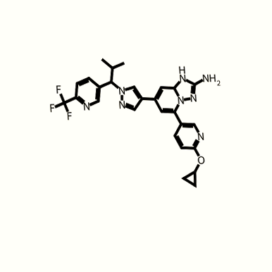 CC(C)C(c1ccc(C(F)(F)F)nc1)n1cc(C2=CC3NC(N)=NN3C(c3ccc(OC4CC4)nc3)=C2)cn1